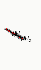 CCCCCCCCCCCCCNCCCCCCCCCCCCCN